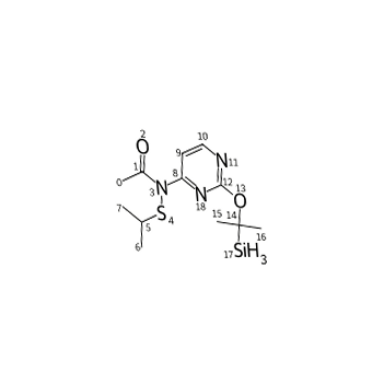 CC(=O)N(SC(C)C)c1ccnc(OC(C)(C)[SiH3])n1